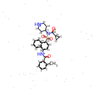 Cc1ccccc1C(=O)Nc1ccc(S(=O)(=O)N(C(=O)C2CC2)C2CCNCC2)c2ccccc12